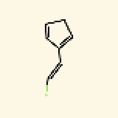 FC=CC1=CCC=C1